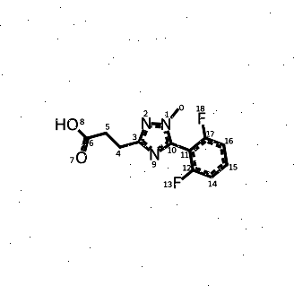 Cn1nc(CCC(=O)O)nc1-c1c(F)cccc1F